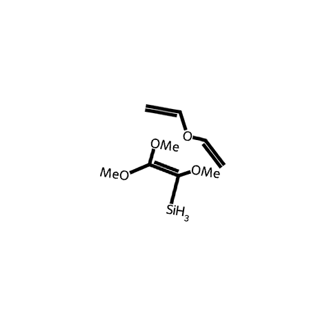 C=COC=C.COC([SiH3])=C(OC)OC